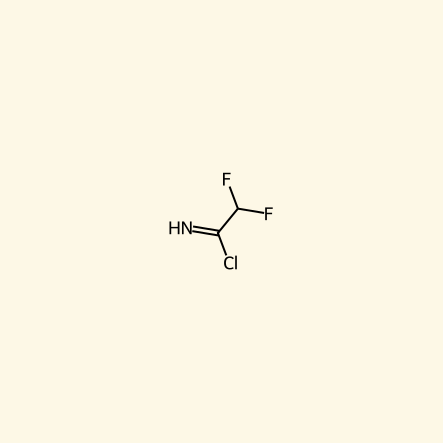 N=C(Cl)C(F)F